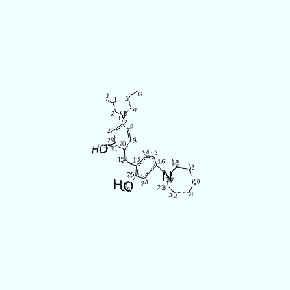 CCCN(CCC)C(/C=C\C(C)Cc1ccc(N2CCCCCC2)cc1O)=C/CO